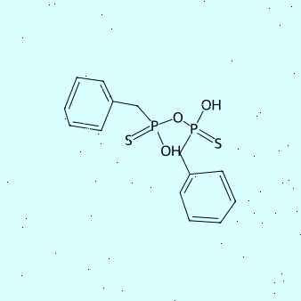 OP(=S)(Cc1ccccc1)OP(O)(=S)Cc1ccccc1